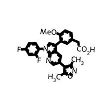 COc1ccc(CC(=O)O)cc1-c1cn(-c2ccc(F)cc2F)c2ncc(-c3c(C)noc3C)cc12